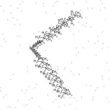 C[N+](C)(C)C.C[N+](C)(C)C.C[N+](C)(C)C.C[N+](C)(C)C.C[N+](C)(C)C.C[N+](C)(C)C.C[N+](C)(C)C.C[N+](C)(C)C.C[N+](C)(C)C.C[N+](C)(C)C.C[N+](C)(C)C.C[N+](C)(C)C.[BH4-].[BH4-].[BH4-].[BH4-].[BH4-].[BH4-].[BH4-].[BH4-].[BH4-].[BH4-].[BH4-].[BH4-]